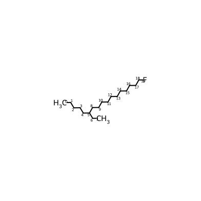 CCCCCC(CC)CCCCCCCCCCCF